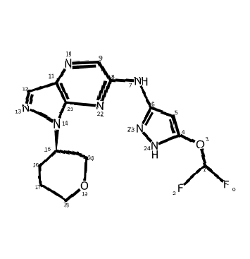 FC(F)Oc1cc(Nc2cnc3cnn([C@@H]4CCCOC4)c3n2)n[nH]1